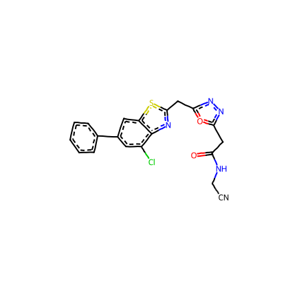 N#CCNC(=O)Cc1nnc(Cc2nc3c(Cl)cc(-c4ccccc4)cc3s2)o1